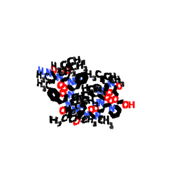 CC(C)C[C@@H](C(=O)N(C)[C@@H](CC(C)C)C(=O)N[C@@H](CC(=O)N(C)CC(=O)N(C)[C@]1(CC(C)C)C(=O)C1N[C@H](C(=O)N(C)[C@@H](Cc1ccccc1)C(=O)N(C)[C@@H](Cc1ccccc1)C(=O)N[C@@H](COC(C)(C)C)C(=O)N(C)[C@@H](CC(C)C)C(N)=O)C(C)C)C(=O)N1CCCCC1)N(C)C(=O)CCOCCO